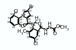 COC(=O)NNC(=O)c1cc(Cl)cc(C)c1N(C)C(=O)c1cc(Br)cn1-c1c(Cl)cccc1Cl